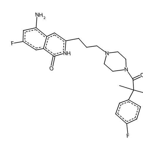 CC(C)(C(=O)N1CCN(CCCc2cc3c(N)cc(F)cc3c(=O)[nH]2)CC1)c1ccc(F)cc1